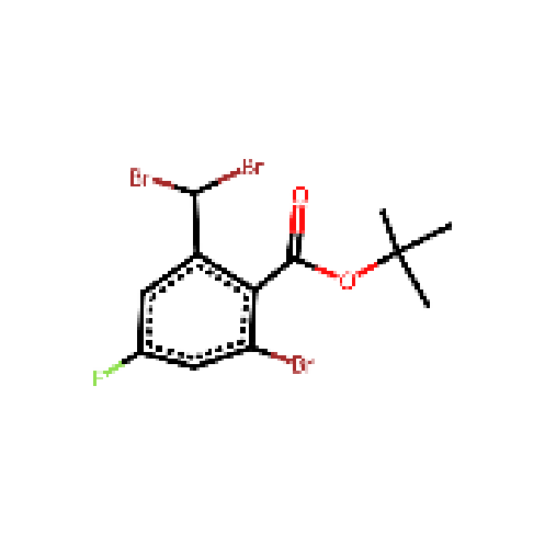 CC(C)(C)OC(=O)c1c(Br)cc(F)cc1C(Br)Br